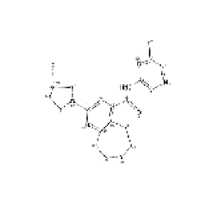 Cc1cncc(NC(=O)c2cc(N3CC[C@H](F)C3)nc3c2CCOCC3)n1